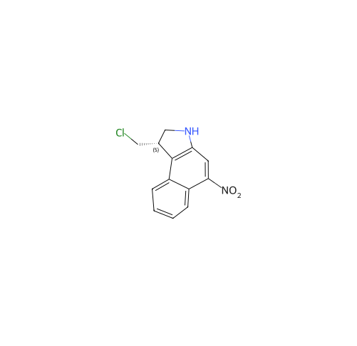 O=[N+]([O-])c1cc2c(c3ccccc13)[C@H](CCl)CN2